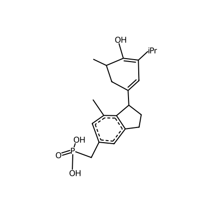 Cc1cc(CP(=O)(O)O)cc2c1C(C1=CC(C(C)C)=C(O)C(C)C1)CC2